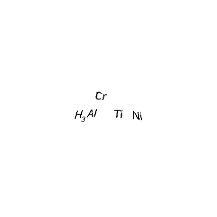 [AlH3].[Cr].[Ni].[Ti]